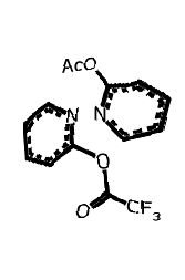 CC(=O)Oc1ccccn1.O=C(Oc1ccccn1)C(F)(F)F